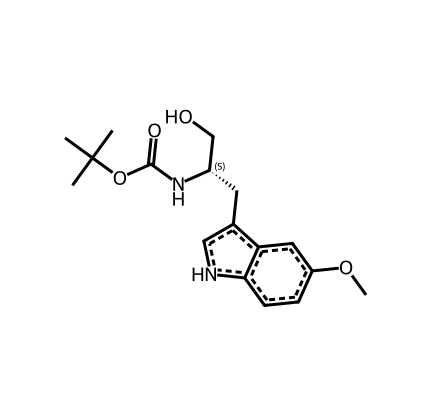 COc1ccc2[nH]cc(C[C@@H](CO)NC(=O)OC(C)(C)C)c2c1